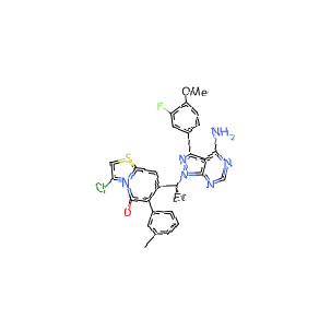 CC[C@@H](c1cc2scc(Cl)n2c(=O)c1-c1cccc(C)c1)n1nc(-c2ccc(OC)c(F)c2)c2c(N)ncnc21